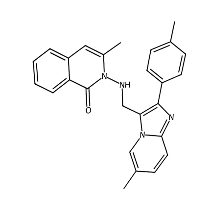 Cc1ccc(-c2nc3ccc(C)cn3c2CNn2c(C)cc3ccccc3c2=O)cc1